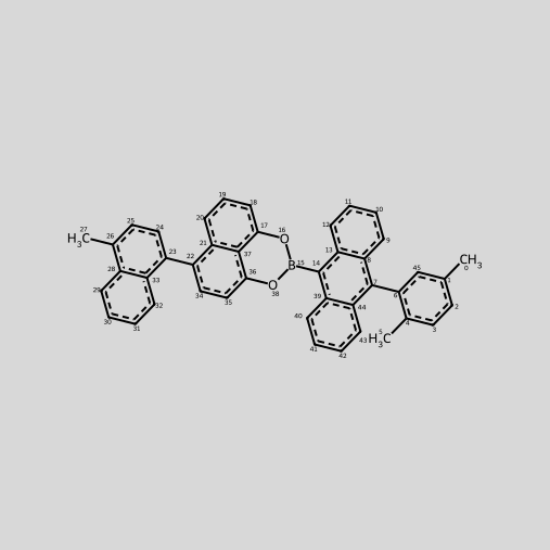 Cc1ccc(C)c(-c2c3ccccc3c(B3Oc4cccc5c(-c6ccc(C)c7ccccc67)ccc(c45)O3)c3ccccc23)c1